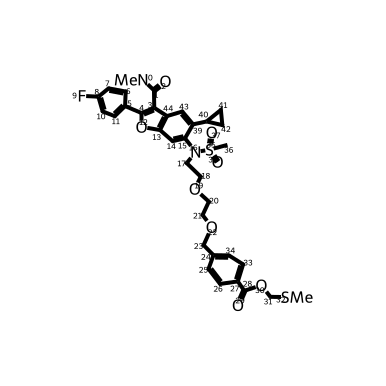 CNC(=O)c1c(-c2ccc(F)cc2)oc2cc(N(CCOCCOCc3ccc(C(=O)OCSC)cc3)S(C)(=O)=O)c(C3CC3)cc12